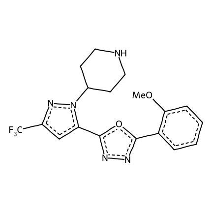 COc1ccccc1-c1nnc(-c2cc(C(F)(F)F)nn2C2CCNCC2)o1